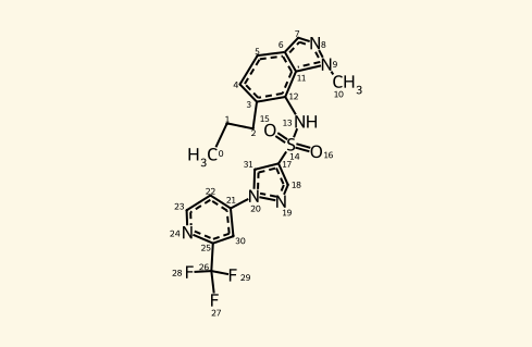 CCCc1ccc2cnn(C)c2c1NS(=O)(=O)c1cnn(-c2ccnc(C(F)(F)F)c2)c1